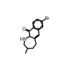 CC1CCC2=Cc3cc(Br)ccc3C(=O)C2NC1